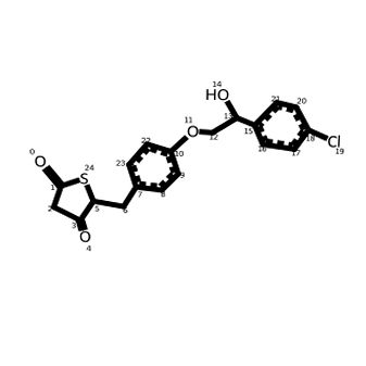 O=C1CC(=O)C(Cc2ccc(OCC(O)c3ccc(Cl)cc3)cc2)S1